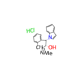 CNC[C@@H](O)[C@H](c1ccccc1C)n1ccc2ccccc21.Cl